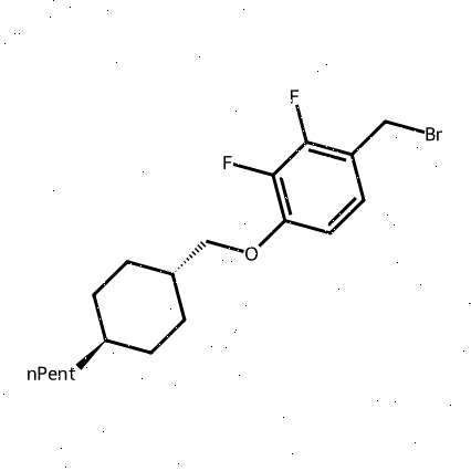 CCCCC[C@H]1CC[C@H](COc2ccc(CBr)c(F)c2F)CC1